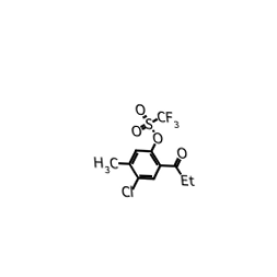 CCC(=O)c1cc(Cl)c(C)cc1OS(=O)(=O)C(F)(F)F